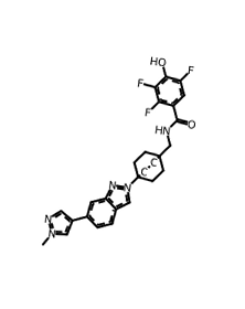 Cn1cc(-c2ccc3cn(C45CCC(CNC(=O)c6cc(F)c(O)c(F)c6F)(CC4)CC5)nc3c2)cn1